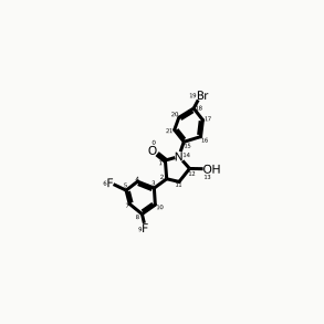 O=C1C(c2cc(F)cc(F)c2)CC(O)N1c1ccc(Br)cc1